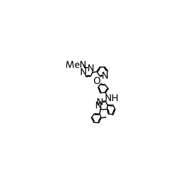 CNc1nccc(-c2cccnc2Oc2ccc(Nc3nnc(-c4ccccc4C)c4ccccc34)cc2)n1